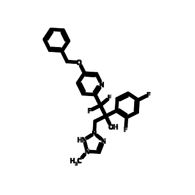 CN1C=NN(CC(O)(c2ccc(F)cc2F)C(F)(F)c2ccc(OCc3ccccc3)cn2)N1